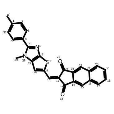 Cc1ccc(-c2nc3sc(C=C4C(=O)c5cc6ccccc6cc5C4=O)cc3n2C)cc1